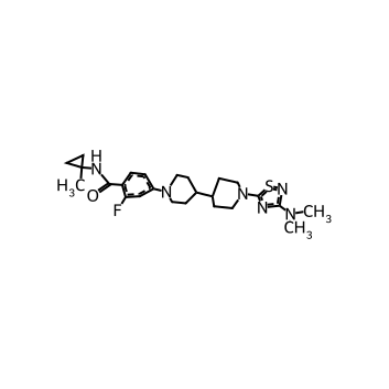 CN(C)c1nsc(N2CCC(C3CCN(c4ccc(C(=O)NC5(C)CC5)c(F)c4)CC3)CC2)n1